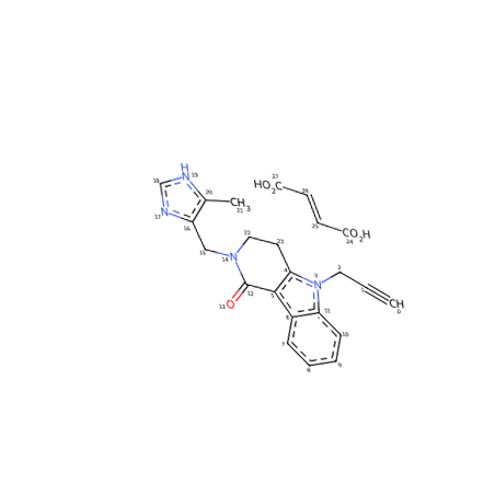 C#CCn1c2c(c3ccccc31)C(=O)N(Cc1nc[nH]c1C)CC2.O=C(O)C=CC(=O)O